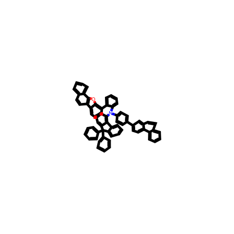 c1ccc(C2(c3ccccc3)c3ccccc3-c3c(N(c4ccc(-c5ccc6c(ccc7ccccc76)c5)cc4)c4ccccc4-c4cccc5c4oc4c6ccccc6ccc54)cccc32)cc1